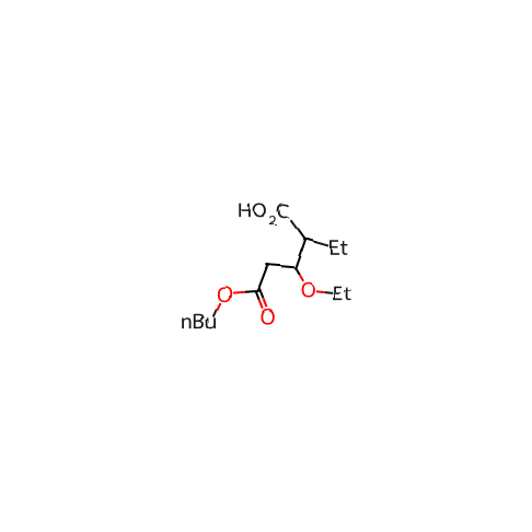 CCCCOC(=O)CC(OCC)C(CC)C(=O)O